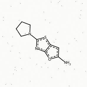 Nc1cc2sc(N3CCCC3)nc2o1